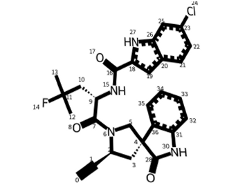 C#C[C@@H]1C[C@@]2(CN1C(=O)[C@H](CC(C)(C)F)NC(=O)c1cc3ccc(Cl)cc3[nH]1)C(=O)Nc1ccccc12